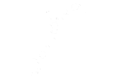 Cc1cc(-c2nc(C(=O)Nc3cc4oc(NCCNCc5ccc6c(c5F)CN(C5CCC(=O)NC5=O)C6=O)nc4nc3N3CC[C@@H](O)C3)co2)ccn1